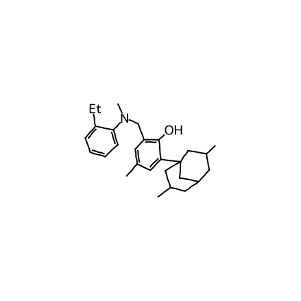 CCc1ccccc1N(C)Cc1cc(C)cc(C23CC(C)CC(CC(C)C2)C3)c1O